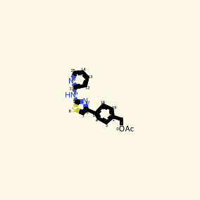 CC(=O)OCc1ccc(-c2csc(Nc3ccccn3)n2)cc1